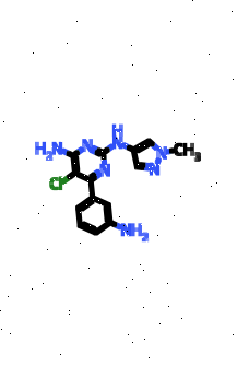 Cn1cc(Nc2nc(N)c(Cl)c(-c3cccc(N)c3)n2)cn1